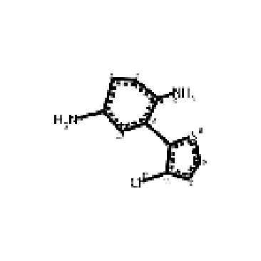 Nc1ccc(N)c(-c2sccc2Cl)c1